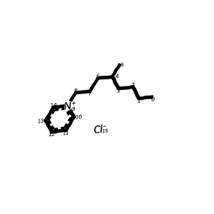 CCCCC(C)CCC[n+]1ccccc1.[Cl-]